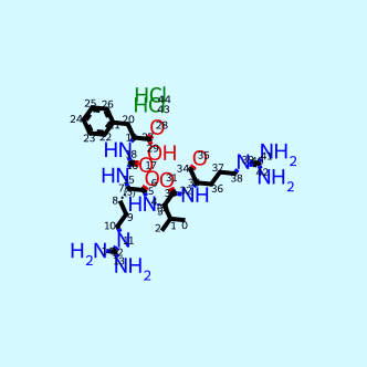 CC(C)[C@H](NC(=O)[C@H](CCCN=C(N)N)NC(=O)NC(Cc1ccccc1)C(=O)O)C(=O)NC(C=O)CCCN=C(N)N.Cl.Cl